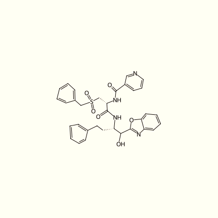 O=C(N[C@@H](CS(=O)(=O)Cc1ccccc1)C(=O)N[C@@H](CCc1ccccc1)C(O)c1nc2ccccc2o1)c1cccnc1